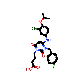 CC(C)Oc1ccc(Nc2cc(=O)n(CCCC(=O)O)c(=O)n2Cc2ccc(Cl)cc2)cc1Cl